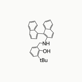 CC(C)(C)c1cccc(CNc2ccc3ccccc3c2-c2cccc3ccccc23)c1O